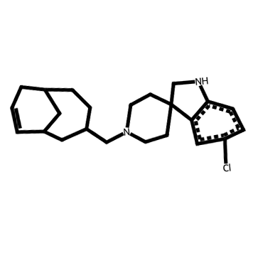 Clc1ccc2c(c1)C1(CCN(CC3CCC4CC=CC(C4)C3)CC1)CN2